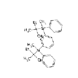 CCC(C)(C)[Si](C)(c1ccccc1)c1cccc([Si](C)(c2ccccc2)C(C)(C)CC)c1